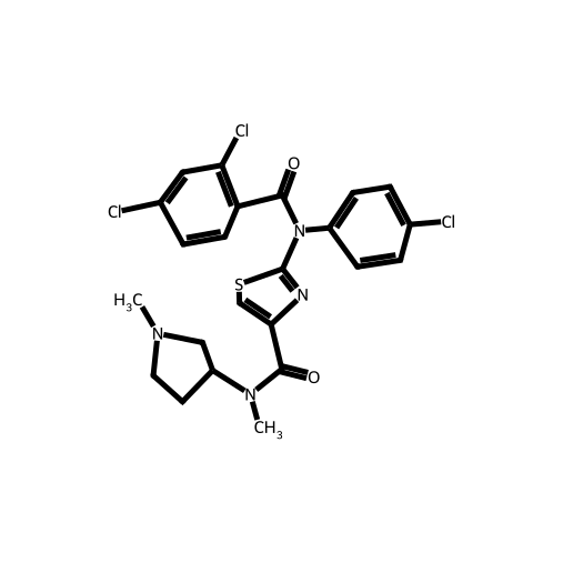 CN1CCC(N(C)C(=O)c2csc(N(C(=O)c3ccc(Cl)cc3Cl)c3ccc(Cl)cc3)n2)C1